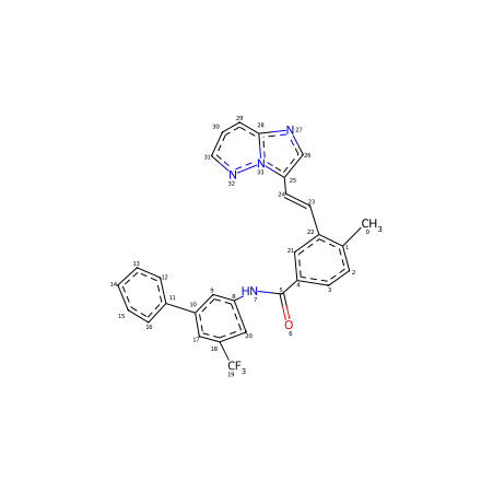 Cc1ccc(C(=O)Nc2cc(-c3ccccc3)cc(C(F)(F)F)c2)cc1C=Cc1cnc2cccnn12